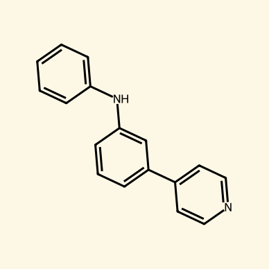 c1ccc(Nc2cccc(-c3ccncc3)c2)cc1